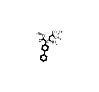 CCOC(=O)C(C)CC(N)[C@@H](C(=O)OC(C)(C)C)c1ccc(-c2ccccc2)cc1